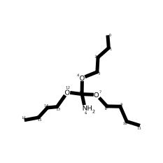 CCCCOC(N)(OCCCC)OCCCC